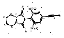 CC#Cc1cc(OC)c(C2C(=O)N3CCCCN3C2=O)c(OC)c1